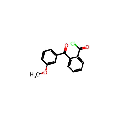 COc1cccc(C(=O)c2ccccc2C(=O)Cl)c1